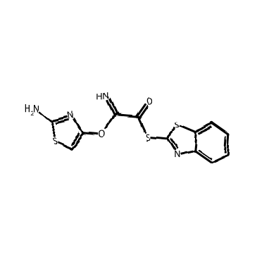 N=C(Oc1csc(N)n1)C(=O)Sc1nc2ccccc2s1